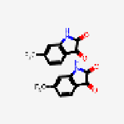 O=C1Nc2cc(C(F)(F)F)ccc2C1=O.O=C1Nc2cc(C(F)(F)F)ccc2C1=O